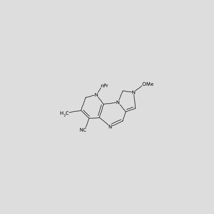 CCCN1CC(C)=C(C#N)C2=C1N1CN(OC)C=C1C=N2